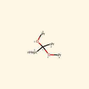 CCCCCCCC(CCC)(OC(C)C)OC(C)C